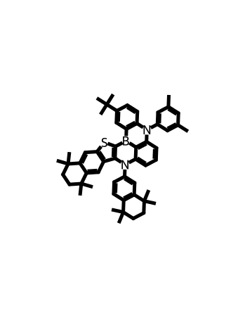 Cc1cc(C)cc(N2c3ccc(C(C)(C)C)cc3B3c4sc5cc6c(cc5c4N(c4ccc5c(c4)C(C)(C)CCC5(C)C)c4cccc2c43)C(C)(C)CCC6(C)C)c1